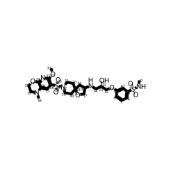 CNS(=O)(=O)c1cccc(OC[C@@H](O)CNC2COC3(CCN(S(=O)(=O)c4cc5c(nc4OC)OCCN5C)CC3)C2)c1